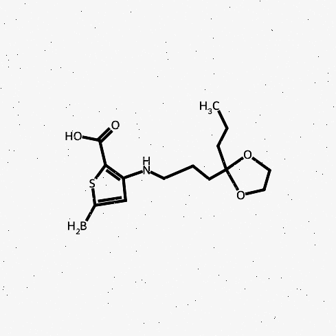 Bc1cc(NCCCC2(CCC)OCCO2)c(C(=O)O)s1